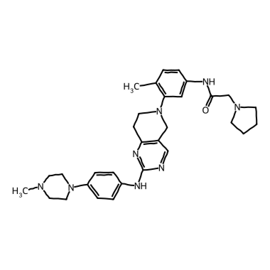 Cc1ccc(NC(=O)CN2CCCC2)cc1N1CCc2nc(Nc3ccc(N4CCN(C)CC4)cc3)ncc2C1